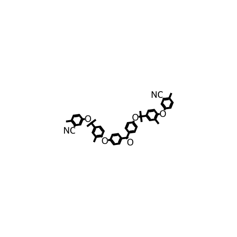 Cc1ccc(Oc2ccc(C(C)(C)Oc3ccc(C(=O)c4ccc(Oc5ccc(C(C)(C)Oc6ccc(C)c(C#N)c6)cc5C)cc4)cc3)cc2C)cc1C#N